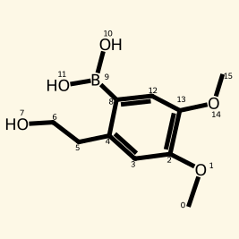 COc1cc(CCO)c(B(O)O)cc1OC